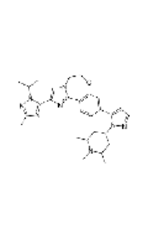 Cc1nc(-c2cn3c(n2)-c2ccc(-c4ccnn4C4CC(C)N(C)C(C)C4)cc2OCC3)n(C(C)C)n1